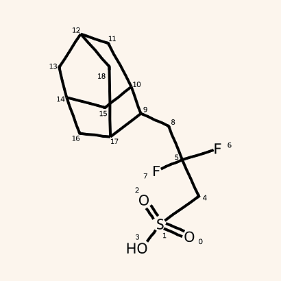 O=S(=O)(O)CC(F)(F)CC1C2CC3CC(C2)CC1C3